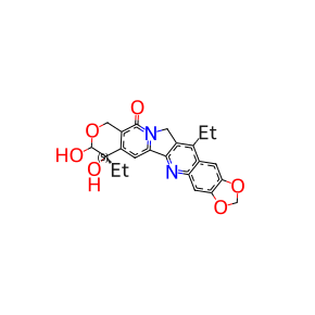 CCc1c2c(nc3cc4c(cc13)OCO4)-c1cc3c(c(=O)n1C2)COC(O)[C@]3(O)CC